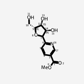 COC(=O)c1ccc(C2O[C@H](CO)[C@@H](O)[C@H]2O)nc1